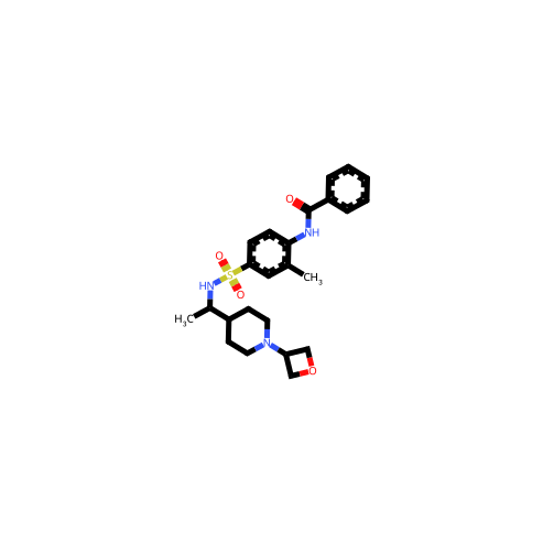 Cc1cc(S(=O)(=O)NC(C)C2CCN(C3COC3)CC2)ccc1NC(=O)c1ccccc1